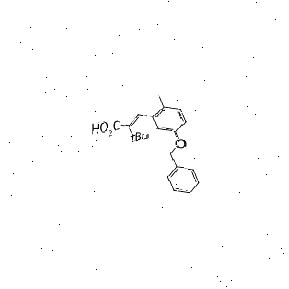 Cc1ccc(OCc2ccccc2)cc1C=C(C(=O)O)C(C)(C)C